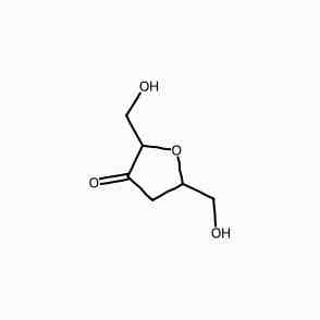 O=C1CC(CO)OC1CO